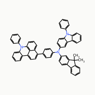 CC1(C)c2ccccc2-c2ccc(N(c3ccc(-c4ccc5c6c(cccc46)N(c4ccccc4)c4ccccc4-5)cc3)c3ccc4c(c3)c3ccccc3n4-c3ccccc3)cc21